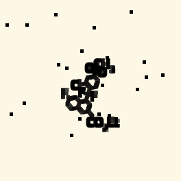 CCOC(=O)Cc1cc(C(F)(F)c2ccc(S(C)(=O)=O)cc2Cl)c2cc(F)ccc2c1